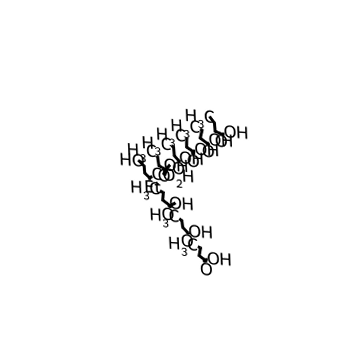 CCC(CCO)C(=O)O.CCCC(=O)O.CCCC(=O)O.CCCC(=O)O.CCCC(=O)O.CCCC(=O)O.CCCC(=O)O.CCCC(=O)O.CCCC(=O)O